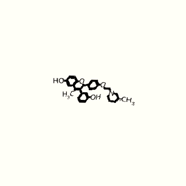 CC1=C(c2cccc(O)c2)C(c2ccc(OCCN3CCC[C@@H](C)C3)cc2)Oc2ccc(O)cc21